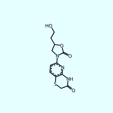 O=C1CSc2ccc(N3CC(CCO)OC3=O)nc2N1